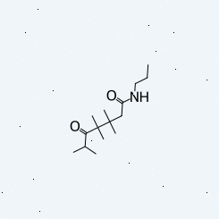 CCCNC(=O)CC(C)(C)C(C)(C)C(=O)C(C)C